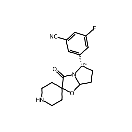 N#Cc1cc(F)cc([C@@H]2CCC3OC4(CCNCC4)C(=O)N32)c1